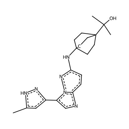 Cc1cc(-c2cnc3ccc(NC45CCC(C(C)(C)O)(CC4)CC5)nn23)n[nH]1